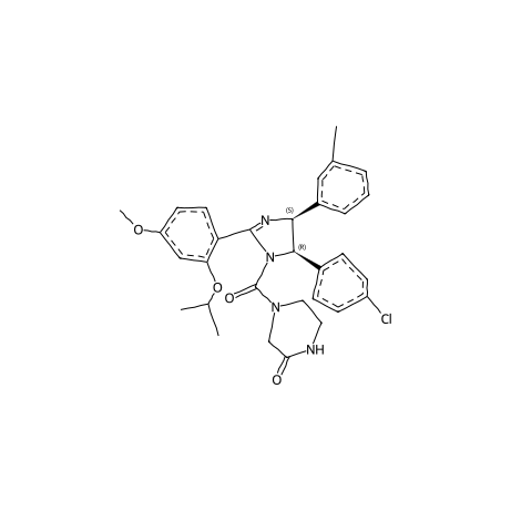 COc1ccc(C2=N[C@@H](c3cccc(C)c3)[C@@H](c3ccc(Cl)cc3)N2C(=O)N2CCNC(=O)C2)c(OC(C)C)c1